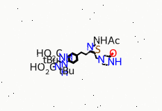 CC(=O)Nc1nc(CCc2ccc(NC(NC(=O)O)(N(C(=O)O)C(C)(C)C)C(C)(C)C)cc2)c(CN2CCNC(=O)C2)s1